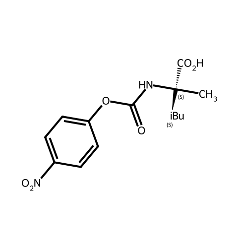 CC[C@H](C)[C@](C)(NC(=O)Oc1ccc([N+](=O)[O-])cc1)C(=O)O